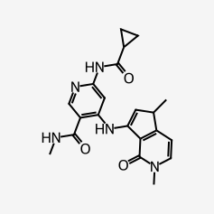 CNC(=O)c1cnc(NC(=O)C2CC2)cc1NC1=CC(C)c2ccn(C)c(=O)c21